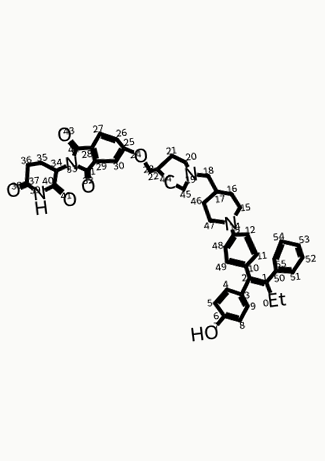 CC/C(=C(\c1ccc(O)cc1)c1ccc(N2CCC(CN3CCC(COc4ccc5c(c4)C(=O)N(C4CCC(=O)NC4=O)C5=O)CC3)CC2)cc1)c1ccccc1